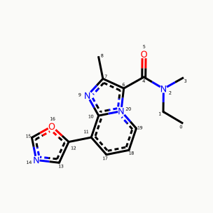 CCN(C)C(=O)c1c(C)nc2c(-c3cnco3)cccn12